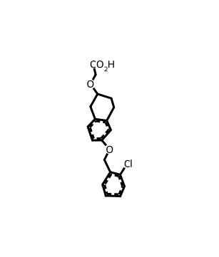 O=C(O)COC1CCc2cc(OCc3ccccc3Cl)ccc2C1